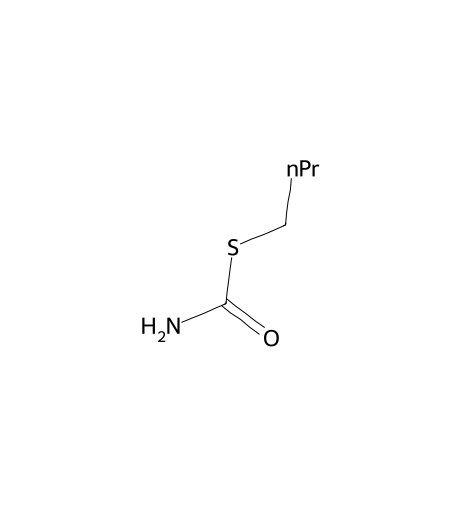 CCCCSC(N)=O